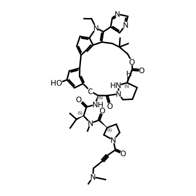 CCn1c(-c2cncnc2)c2c3cc(ccc31)-c1cc(O)cc(c1)C[C@H](NC(=O)[C@H](C(C)C)N(C)C(=O)[C@H]1CCN(C(=O)C#CCN(C)C)C1)C(=O)N1CCC[C@H](N1)C(=O)OCC(C)(C)C2